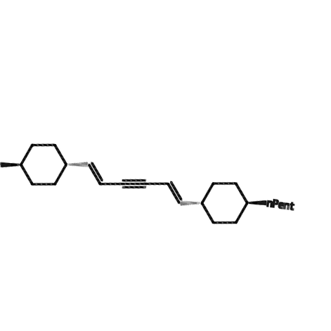 CCCCC[C@H]1CC[C@H](C=CC#CC=C[C@H]2CC[C@H](CCC)CC2)CC1